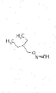 [CH]=NOCC(CC)CC